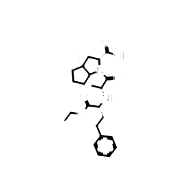 CCOC(=O)[C@H](CCc1ccccc1)N[C@H]1C[C@]23CCC[C@H]2C[C@@H](C(=O)O)N3C1=O